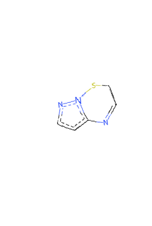 C1=Nc2ccnn2SC1